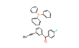 O=C(c1ccc(F)cc1)c1cccc(C#[C][Au])c1.c1ccc(P(c2ccccc2)c2ccccc2)cc1